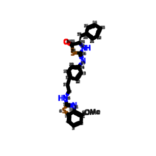 COc1cccc2sc(NCCc3ccc(/N=C4/N[C@@H](Cc5ccccc5)C(=O)S4)cc3)nc12